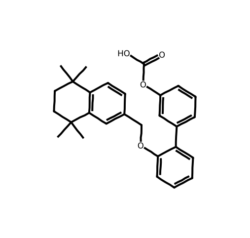 CC1(C)CCC(C)(C)c2cc(COc3ccccc3-c3cccc(OC(=O)O)c3)ccc21